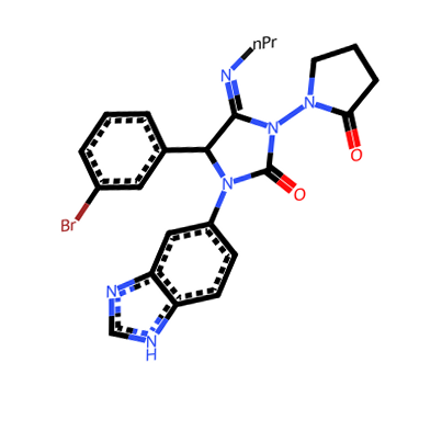 CCCN=C1C(c2cccc(Br)c2)N(c2ccc3[nH]cnc3c2)C(=O)N1N1CCCC1=O